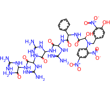 N=C(N)NC(NC(=O)C(NC(=N)N)NC(=O)C(NC(=N)N)NC(=O)C(NC(=N)N)NC(=O)C(NC(=O)C(O)N(Cc1ccc(O)c([N+](=O)[O-])c1)c1ccc([N+](=O)[O-])cc1[N+](=O)[O-])c1ccccc1)C(N)=O